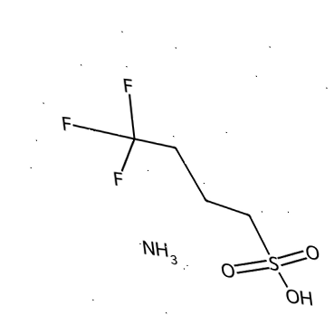 N.O=S(=O)(O)CCCC(F)(F)F